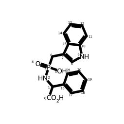 O=C(O)C(NP(=O)(O)Cc1c[nH]c2ccccc12)c1ccccc1